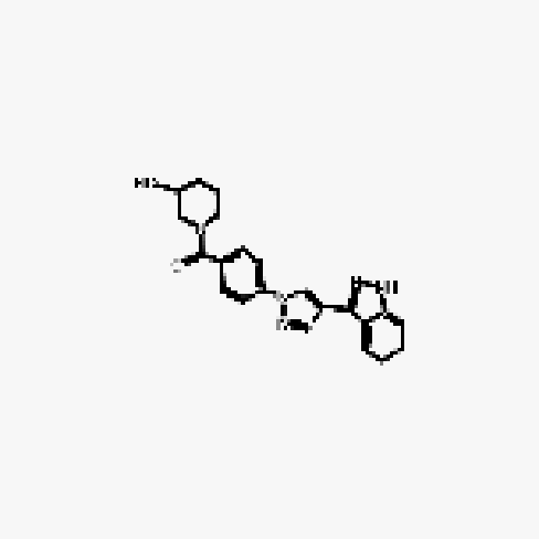 O=C(c1ccc(-n2cc(-c3n[nH]c4c3=CCCC=4)nn2)cc1)N1CCCC(O)C1